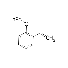 C=Cc1c[c]ccc1OCCC